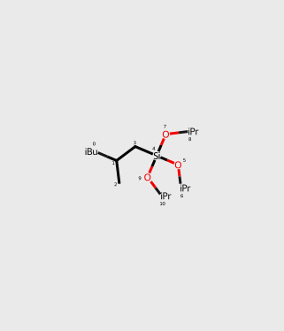 CCC(C)C(C)C[Si](OC(C)C)(OC(C)C)OC(C)C